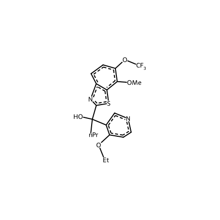 CCCC(O)(c1nc2ccc(OC(F)(F)F)c(OC)c2s1)c1cnccc1OCC